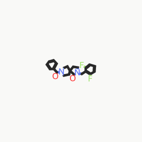 O=C(c1ccccc1)N1CCC2(CC1)CCN(Cc1c(F)cccc1F)C2=O